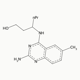 CCCC(CCO)Nc1nc(N)nc2ccc(C)cc12